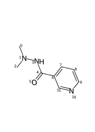 CN(C)NC(=O)c1cccnc1